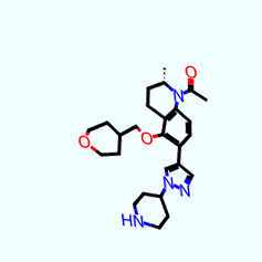 CC(=O)N1c2ccc(-c3cnn(C4CCNCC4)c3)c(OCC3CCOCC3)c2CC[C@@H]1C